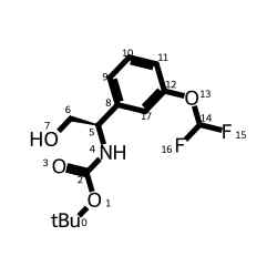 CC(C)(C)OC(=O)N[C@@H](CO)c1cccc(OC(F)F)c1